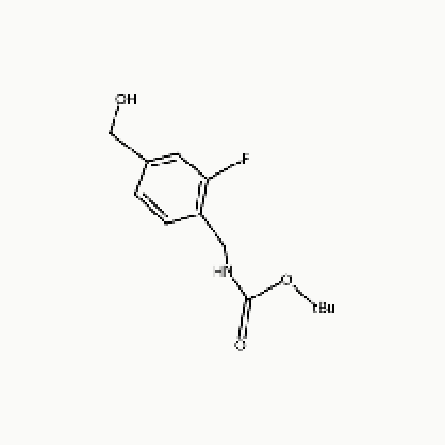 CC(C)(C)OC(=O)NCc1ccc(CO)cc1F